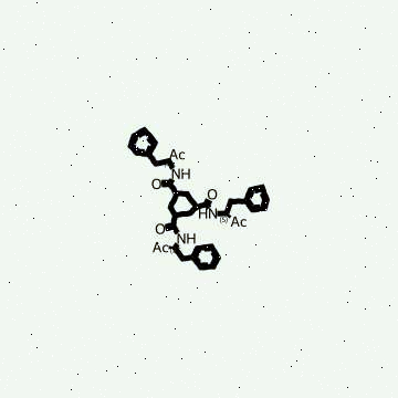 CC(=O)[C@H](Cc1ccccc1)NC(=O)C1CC(C(=O)N[C@@H](Cc2ccccc2)C(C)=O)CC(C(=O)N[C@@H](Cc2ccccc2)C(C)=O)C1